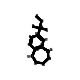 CCC(C)(C)c1ccc2c(c1)OCCCO2